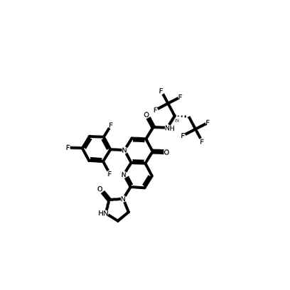 O=C(N[C@@H](CC(F)(F)F)C(F)(F)F)c1cn(-c2c(F)cc(F)cc2F)c2nc(N3CCNC3=O)ccc2c1=O